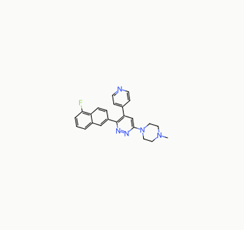 CN1CCN(c2cc(-c3ccncc3)c(-c3ccc4c(F)cccc4c3)nn2)CC1